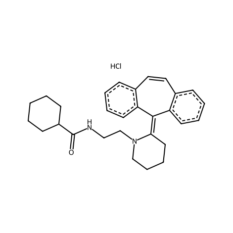 Cl.O=C(NCCN1CCCCC1=C1c2ccccc2C=Cc2ccccc21)C1CCCCC1